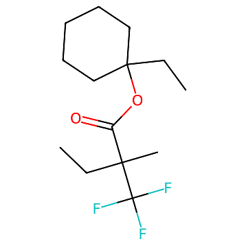 CCC1(OC(=O)C(C)(CC)C(F)(F)F)CCCCC1